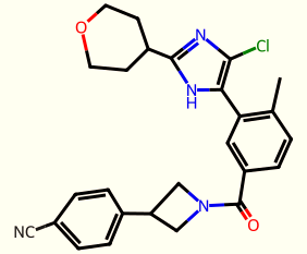 Cc1ccc(C(=O)N2CC(c3ccc(C#N)cc3)C2)cc1-c1[nH]c(C2CCOCC2)nc1Cl